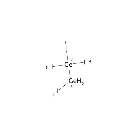 [I][GeH2][Ge]([I])([I])[I]